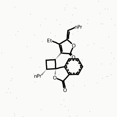 CCC/C=C1\OC(=O)C([C@H]2C[C@@H](CCC)[C@@]23OC(=O)c2ccccc23)=C1CC